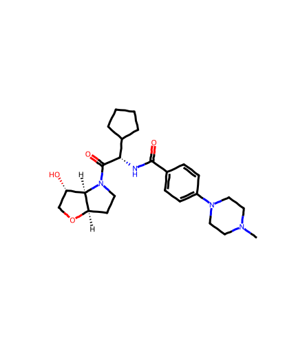 CN1CCN(c2ccc(C(=O)N[C@H](C(=O)N3CC[C@H]4OC[C@H](O)[C@H]43)C3CCCC3)cc2)CC1